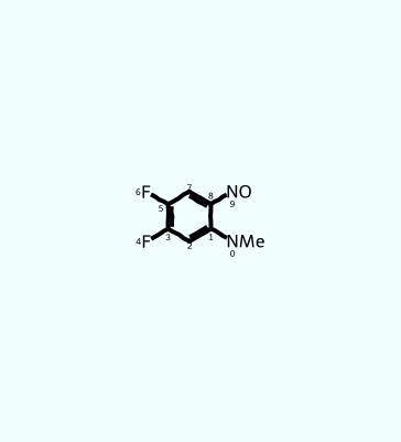 CNc1cc(F)c(F)cc1N=O